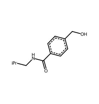 CC(C)CNC(=O)c1ccc(CO)cc1